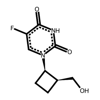 O=c1[nH]c(=O)n([C@@H]2CC[C@@H]2CO)cc1F